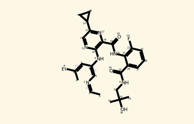 C\C=N/C=C(\C=C(/C)CC)Nc1ncc(C2CC2)nc1C(=O)Nc1c(F)cccc1C(=O)NCC(C)(C)O